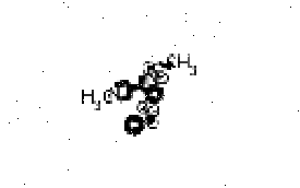 CCCS(=O)(=O)n1cc(C2CCN(C)CC2)c2cc(OS(=O)(=O)c3ccccc3)ccc21